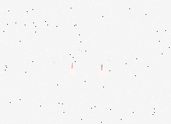 N#CNC(=O)[C@H](N)CCC(N)=O